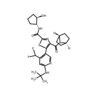 CC(C)(C)Nc1cc(C(F)F)c(-c2sc(C(=O)N[C@@H]3CCC[C@H]3O)nc2C(=O)N2[C@H]3CC[C@H]2CC3)cn1